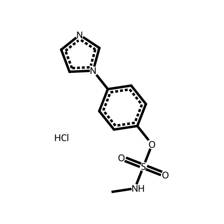 CNS(=O)(=O)Oc1ccc(-n2ccnc2)cc1.Cl